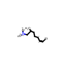 CC/C=C\CCCC(C)CN(CCC)C(C)=O